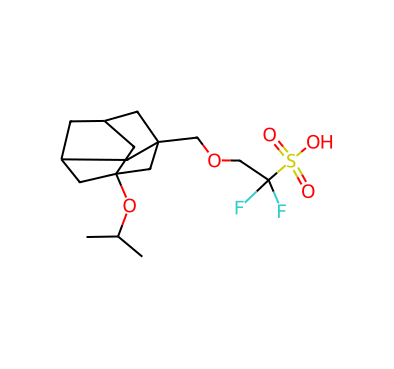 CC(C)OC12CC3CC(CC(COCC(F)(F)S(=O)(=O)O)(C3)C1)C2